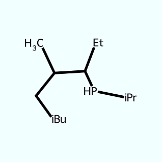 CCC(C)CC(C)C(CC)PC(C)C